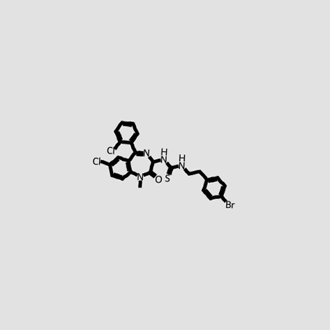 CN1C(=O)C(NC(=S)NCCc2ccc(Br)cc2)N=C(c2ccccc2Cl)c2cc(Cl)ccc21